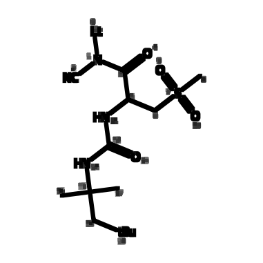 CCN(C#N)C(=O)C(CS(C)(=O)=O)NC(=O)NC(C)(C)CC(C)(C)C